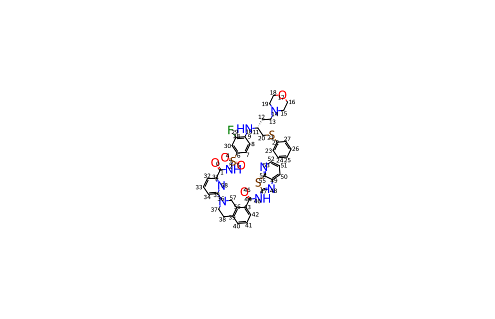 O=C(NS(=O)(=O)c1ccc(N[C@H](CCN2CCOCC2)CSc2ccccc2)c(F)c1)c1cccc(N2CCc3cccc(C(=O)Nc4nc5cccnc5s4)c3C2)n1